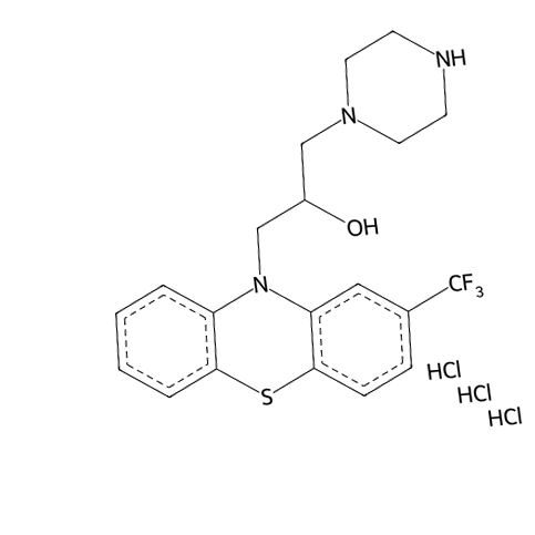 Cl.Cl.Cl.OC(CN1CCNCC1)CN1c2ccccc2Sc2ccc(C(F)(F)F)cc21